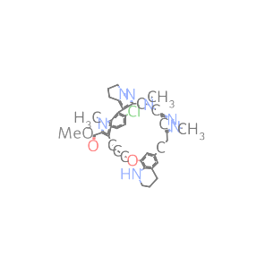 COC(=O)c1c2c3ccc(Cl)c(c3n1C)-c1c(nn3c1CCC3)CN(C)Cc1cc(n(C)n1)CCc1cc3c(c(c1)OCCC2)NCCC3